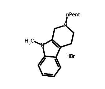 Br.CCCCCN1CCc2c(n(C)c3ccccc23)C1